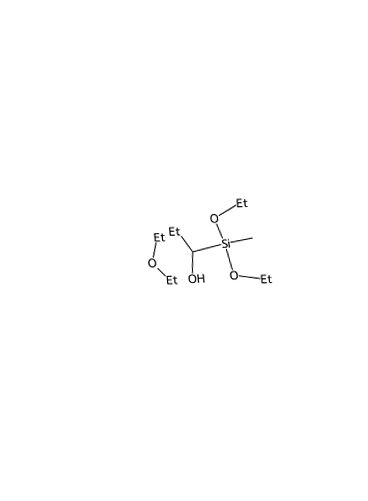 CCOCC.CCO[Si](C)(OCC)C(O)CC